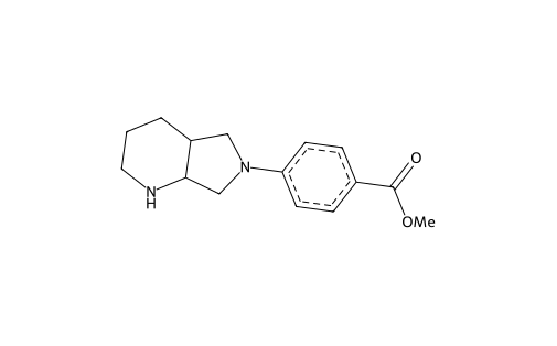 COC(=O)c1ccc(N2CC3CCCNC3C2)cc1